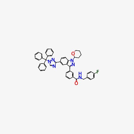 O=C(NCc1ccc(F)cc1)c1cccc(-c2nn(C3CCCCO3)c3ccc(-c4ncn(C(c5ccccc5)(c5ccccc5)c5ccccc5)n4)cc23)c1